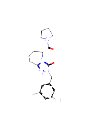 O=C([C@H]1CCCc2nn(Cc3cc(Cl)cc(Cl)c3)c(=O)n21)N1CCCC1